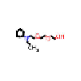 CCCN(CCOCCOCCO)c1ccccc1